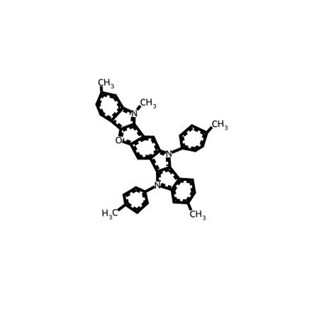 Cc1ccc(-n2c3cc(C)ccc3c3c2c2cc4oc5c6ccc(C)cc6n(C)c5c4cc2n3-c2ccc(C)cc2)cc1